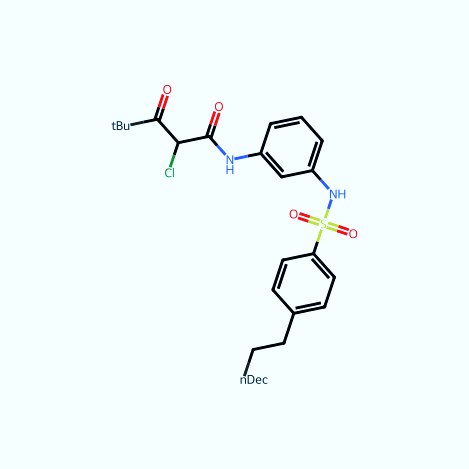 CCCCCCCCCCCCc1ccc(S(=O)(=O)Nc2cccc(NC(=O)C(Cl)C(=O)C(C)(C)C)c2)cc1